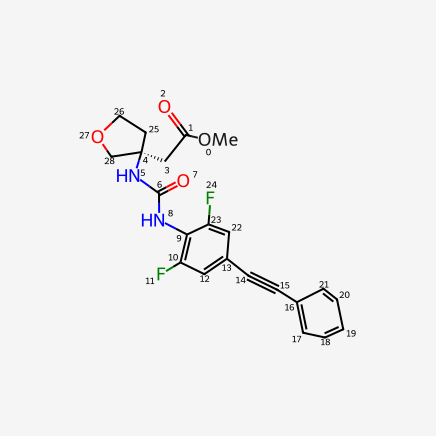 COC(=O)C[C@@]1(NC(=O)Nc2c(F)cc(C#Cc3ccccc3)cc2F)CCOC1